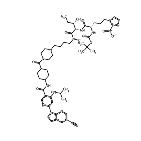 CC[C@H](C)[C@H](NC(=O)[C@H](CCCn1ccnc1[N+](=O)[O-])NC(=O)OC(C)(C)C)C(=O)N(C)CCCCN1CCN(C(=O)C2CCC(NC(=O)c3cnc(-n4ccc5cc(C#N)cnc54)cc3NC(C)C)CC2)CC1